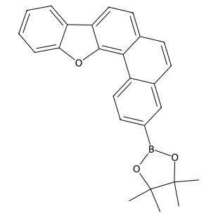 CC1(C)OB(c2ccc3c(ccc4ccc5c6ccccc6oc5c43)c2)OC1(C)C